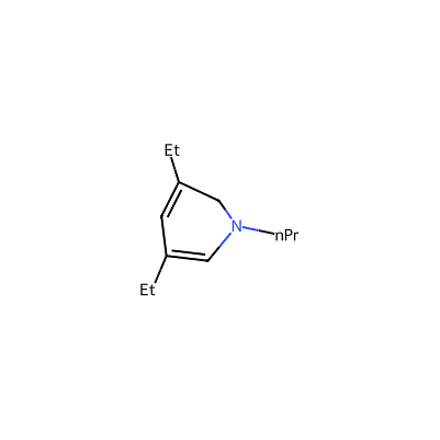 CCCN1C=C(CC)C=C(CC)C1